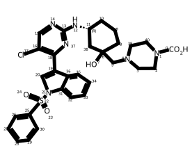 O=C(O)N1CCN(CC2(O)CCC[C@@H](Nc3ncc(Cl)c(-c4cn(S(=O)(=O)c5ccccc5)c5ccccc45)n3)C2)CC1